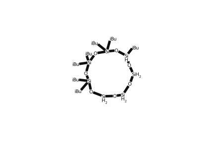 CCC(C)[SiH]1O[SiH2]O[SiH2]O[SiH2]O[Si](C(C)CC)(C(C)CC)O[Si](C(C)CC)(C(C)CC)O[Si](C(C)CC)(C(C)CC)O1